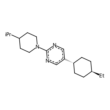 CC[C@H]1CC[C@H](c2cnc(N3CCC(C(C)C)CC3)nc2)CC1